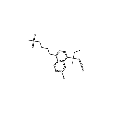 CC[C@@](C)(N=[N+]=[N-])c1cnc(OCCCS(C)(=O)=O)c2cnc(Cl)cc12